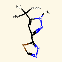 CCCCCC(C)(CCC)c1cc(-c2nncs2)nn1C